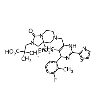 CCOC(=O)C1=C(CN2CCN3C(=O)N(CC(C)(C)C(=O)O)CC3(C)C2)NC(c2nccs2)=NC1c1cccc(F)c1C